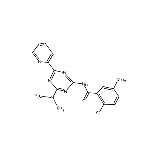 CC(=O)Nc1ccc(Cl)c(C(=O)Nc2nc(-c3ccccn3)nc(N(C)C)n2)c1